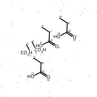 CC(=O)O.CC(=O)O.CCC(=O)O.CCC(=O)O.CCC(=O)O